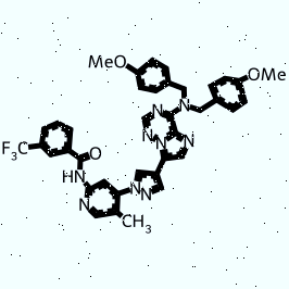 COc1ccc(CN(Cc2ccc(OC)cc2)c2ncnn3c(-c4cnn(-c5cc(NC(=O)c6cccc(C(F)(F)F)c6)ncc5C)c4)cnc23)cc1